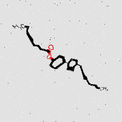 CCCCCCCC(=O)OC1CCC([C@H]2CC[C@H](CCCCCCC)CC2)CC1